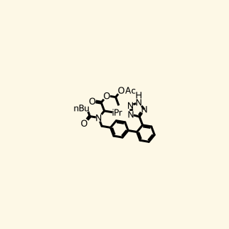 CCCCC(=O)N(Cc1ccc(-c2ccccc2-c2nn[nH]n2)cc1)C(C(=O)OC(C)OC(C)=O)C(C)C